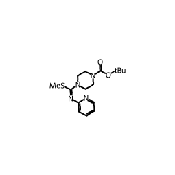 CS/C(=N/c1ccccn1)N1CCN(C(=O)OC(C)(C)C)CC1